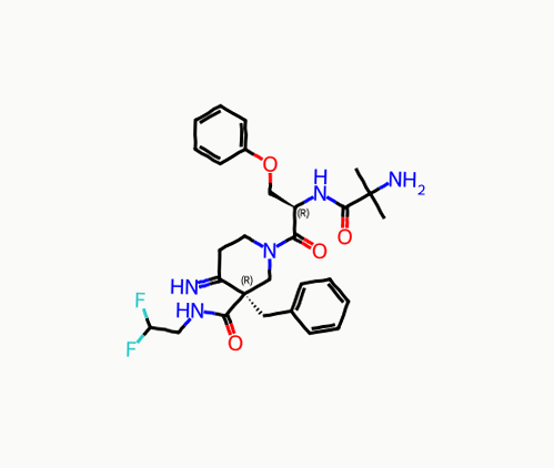 CC(C)(N)C(=O)N[C@H](COc1ccccc1)C(=O)N1CCC(=N)[C@](Cc2ccccc2)(C(=O)NCC(F)F)C1